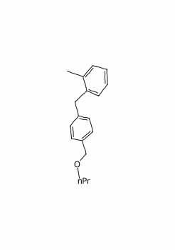 CCCOCc1ccc(Cc2ccccc2C)cc1